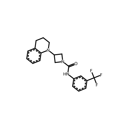 O=C(Nc1cccc(C(F)(F)F)c1)N1CC(N2CCCc3ccccc32)C1